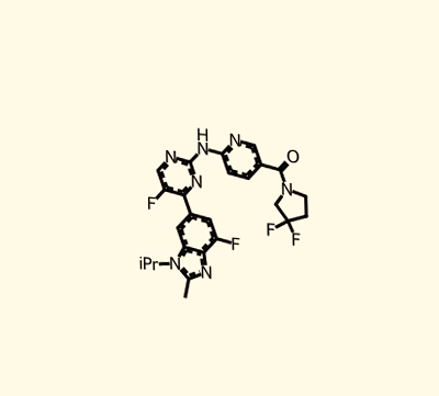 Cc1nc2c(F)cc(-c3nc(Nc4ccc(C(=O)N5CCC(F)(F)C5)cn4)ncc3F)cc2n1C(C)C